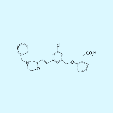 O=C(O)Cc1ccccc1OCc1cc(Cl)cc(C=CC2CN(Cc3ccccc3)CCO2)c1